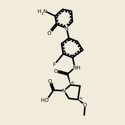 CO[C@@H]1C[C@H](C(=O)Nc2ccc(-n3cccc(N)c3=O)cc2F)N(C(=O)O)C1